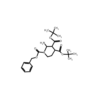 CC(C)(C)OC(=O)C1CCN(C(=O)OCc2ccccc2)C(N)C1C(=O)OC(C)(C)C